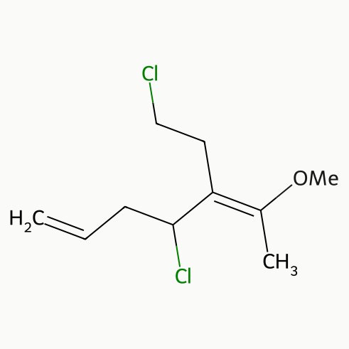 C=CCC(Cl)/C(CCCl)=C(\C)OC